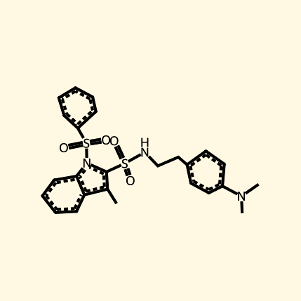 Cc1c(S(=O)(=O)NCCc2ccc(N(C)C)cc2)n(S(=O)(=O)c2ccccc2)c2ccccc12